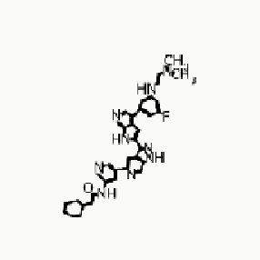 CN(C)CCNc1cc(F)cc(-c2cncc3[nH]c(-c4n[nH]c5cnc(-c6cncc(NC(=O)CC7CCCCC7)c6)cc45)cc23)c1